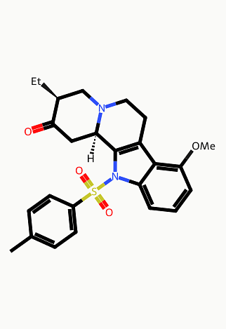 CC[C@H]1CN2CCc3c(n(S(=O)(=O)c4ccc(C)cc4)c4cccc(OC)c34)[C@H]2CC1=O